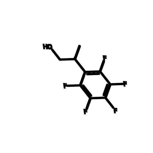 C[C](CO)c1c(F)c(F)c(F)c(F)c1F